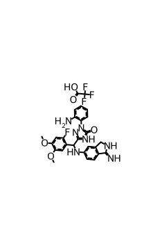 COc1cc(F)c(C(Nc2ccc3c(c2)CNC3=N)c2nn(-c3ccccc3N)c(=O)[nH]2)cc1OC.O=C(O)C(F)(F)F